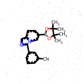 CC1(C)OB(c2ccc3cnc(-c4cccc(C#N)c4)n3c2)OC1(C)C